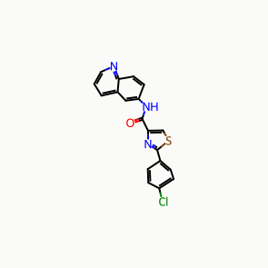 O=C(Nc1ccc2ncccc2c1)c1csc(-c2ccc(Cl)cc2)n1